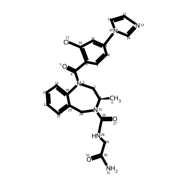 C[C@@H]1CN(C(=O)c2ccc(-n3ccnc3)cc2Cl)c2ccccc2CN1C(=O)NCC(N)=O